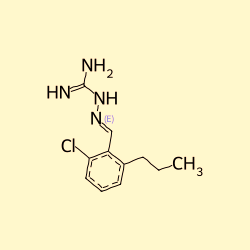 CCCc1cccc(Cl)c1/C=N/NC(=N)N